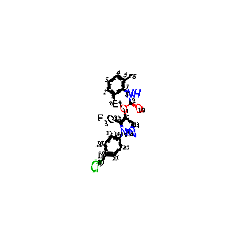 CCc1cccc(C)c1NC(=O)Oc1cnn(-c2ccc(Cl)cc2)c1C(F)(F)F